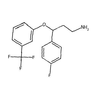 NCCC(Oc1cccc(C(F)(F)F)c1)c1ccc(F)cc1